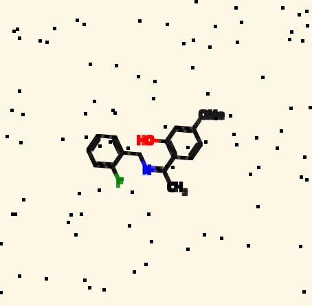 COc1ccc(/C(C)=N\Cc2ccccc2F)c(O)c1